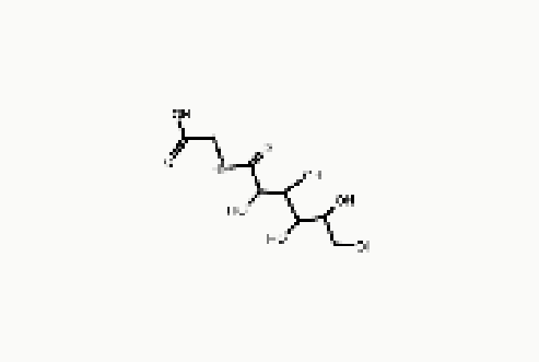 O=C(O)CNC(=O)C(O)C(O)C(O)C(O)CO